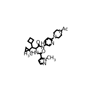 CC(=O)N1CCN(c2ccc(NC(=O)[C@@H](NC(=O)c3ccnn3C)C(C3CCC3)C3(C)CC3)cn2)CC1